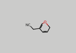 N#CCC1=COCC=C1